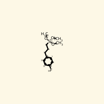 CO[Si](CCCc1ccc(F)cc1)(OC)OC